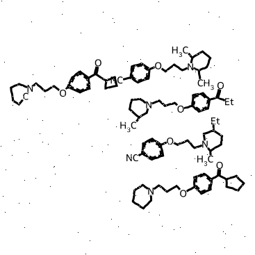 CC1CCCC(C)N1CCCOc1ccc(C#N)cc1.CCC(=O)c1ccc(OCCCN2CCCC(C)C2)cc1.CCC1CCC(C)N(CCCOc2ccc(C#N)cc2)C1.O=C(c1ccc(OCCCN2CCCCC2)cc1)C1CCC1.O=C(c1ccc(OCCCN2CCCCC2)cc1)C1CCCC1